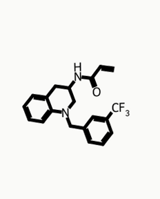 C=CC(=O)NC1Cc2ccccc2N(Cc2cccc(C(F)(F)F)c2)C1